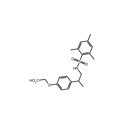 Cc1cc(C)c(S(=O)(=O)NCC(C)c2ccc(OCC(=O)O)cc2)c(C)c1